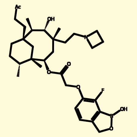 CC(=O)CC[C@]12CC[C@@H](C)[C@](C)(C1)[C@H](OC(=O)COc1ccc3c(c1F)B(O)OC3)C[C@@](C)(CCN1CCC1)[C@@H](O)[C@@H]2C